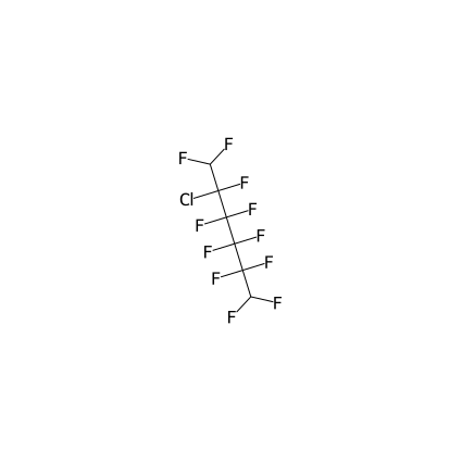 FC(F)C(F)(F)C(F)(F)C(F)(F)C(F)(Cl)C(F)F